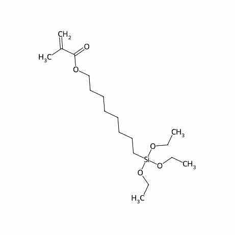 C=C(C)C(=O)OCCCCCCCC[Si](OCC)(OCC)OCC